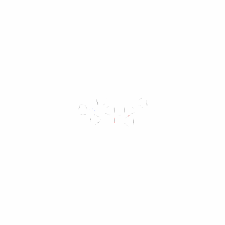 C1=CC(n2c3ccccc3c3cccc(-c4ccc5c(c4)C4(c6ccccc6Sc6ccccc64)c4ccc(-c6ccccc6)cc4S5)c32)=CCC1